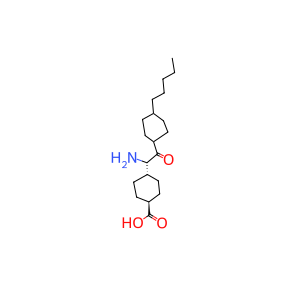 CCCCCC1CCC(C(=O)C(N)[C@H]2CC[C@H](C(=O)O)CC2)CC1